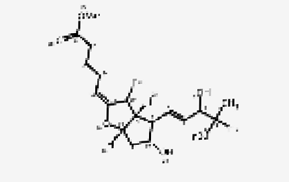 CCCCC(C)(F)[C@H](O)C=C[C@@H]1[C@H]2C(F)C(=CCCCC(=O)OC)O[C@H]2C[C@H]1O